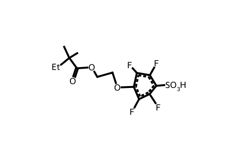 CCC(C)(C)C(=O)OCCOc1c(F)c(F)c(S(=O)(=O)O)c(F)c1F